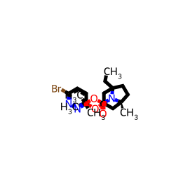 CCC12CC[C@](C)(CC(Oc3ccc(Br)nn3)C1)N2C(=O)OC(C)(C)C